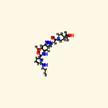 CCCCNc1cccc(C(=O)NC2=C/C(=C/NCC(=O)N3CCC(C(C)(C)O)CC3)C(=N)C=C2OC)n1